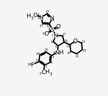 Cc1cc(NC2CN(S(=O)(=O)c3cn(C)cn3)CC2C2CCCCO2)ccc1F